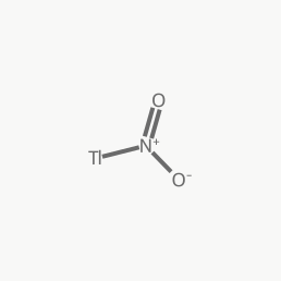 O=[N+]([O-])[Tl]